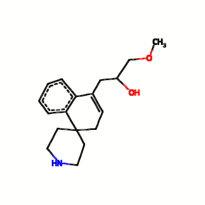 COCC(O)CC1=CCC2(CCNCC2)c2ccccc21